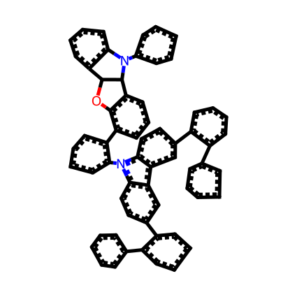 c1ccc(-c2ccccc2-c2ccc3c(c2)c2cc(-c4ccccc4-c4ccccc4)ccc2n3-c2ccccc2-c2cccc3c2OC2c4ccccc4N(c4ccccc4)C32)cc1